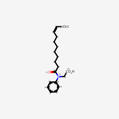 CCCCCCCC/C=C\CCCCCCCC(=O)N(CC(=O)O)c1ccccc1